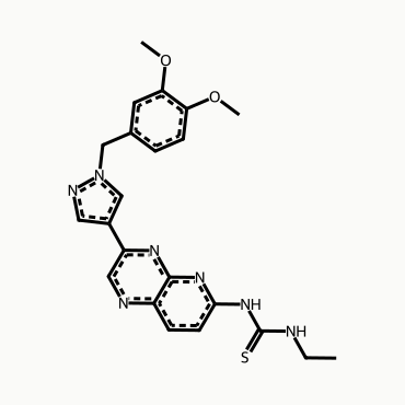 CCNC(=S)Nc1ccc2ncc(-c3cnn(Cc4ccc(OC)c(OC)c4)c3)nc2n1